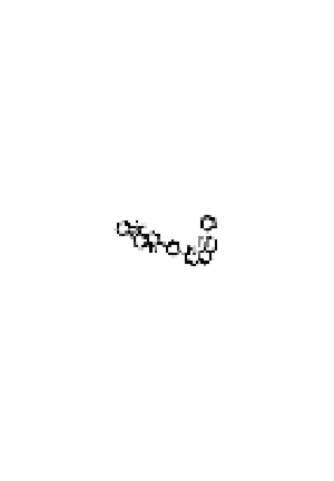 C[Si]1(C)c2ccccc2-c2ccc3nc(-c4ccc(-c5ccc6ccc7ccc(-c8ccccc8)nc7c6n5)cc4)ccc3c21